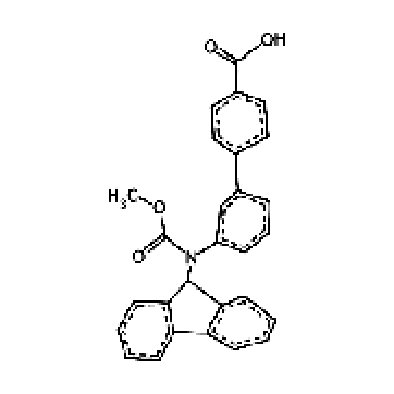 COC(=O)N(c1cccc(-c2ccc(C(=O)O)cc2)c1)C1c2ccccc2-c2ccccc21